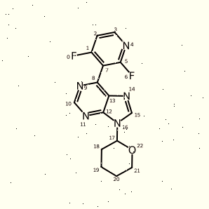 Fc1ccnc(F)c1-c1ncnc2c1ncn2C1CCCCO1